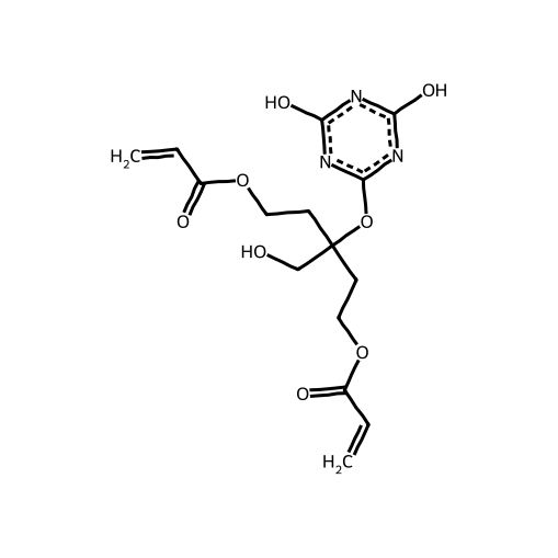 C=CC(=O)OCCC(CO)(CCOC(=O)C=C)Oc1nc(O)nc(O)n1